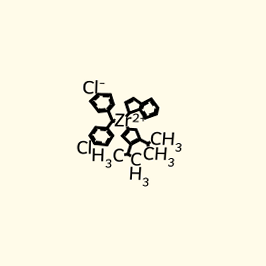 CC(C)C1=C(C(C)C)C[C]([Zr+2](=[C](c2ccccc2)c2ccccc2)[CH]2C=Cc3ccccc32)=C1.[Cl-].[Cl-]